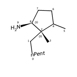 CCCCCC[C@@]1(C)C(C)CC[C@@H]1N